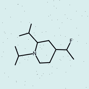 CC(C)C1CC(C(C)F)CCN1C(C)C